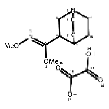 CON=C(OC)C1CN2CCC1CC2.O=C(O)C(=O)O